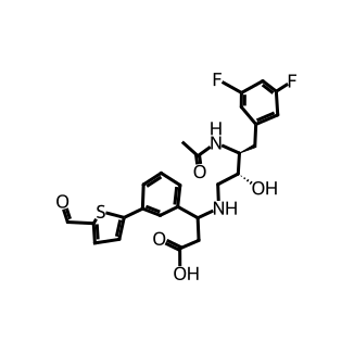 CC(=O)N[C@@H](Cc1cc(F)cc(F)c1)[C@H](O)CNC(CC(=O)O)c1cccc(-c2ccc(C=O)s2)c1